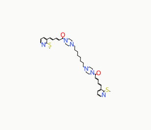 CSc1ncccc1C=CC=CC(=O)N1CCN(CCCCCCCCN2CCN(C(=O)C=CC=Cc3cccnc3SC)CC2)CC1